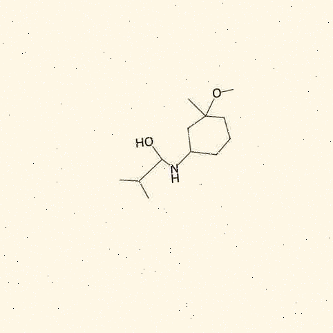 COC1(C)CCCC(NC(O)C(C)C)C1